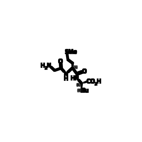 CC[C@H](C)[C@H](NC(=O)[C@H](CCSC)NC(=O)CN)C(=O)O